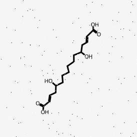 O=C(O)C=CCC(O)CCCCCCC(O)CC=CC(=O)O